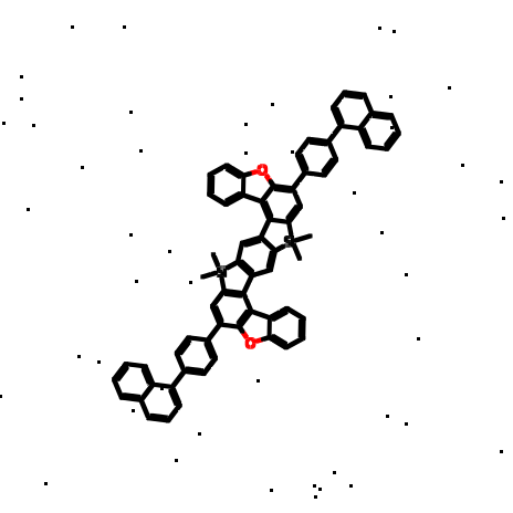 C[Si]1(C)c2cc3c(cc2-c2c1cc(-c1ccc(-c4cccc5ccccc45)cc1)c1oc4ccccc4c21)[Si](C)(C)c1cc(-c2ccc(-c4cccc5ccccc45)cc2)c2oc4ccccc4c2c1-3